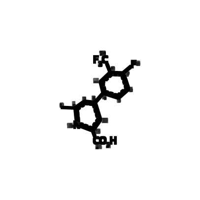 Cc1cc(-c2ccc(F)c(C(F)(F)F)c2)cc(C(=O)O)n1